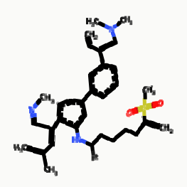 C=C/C(=C\N(C)C)c1cccc(-c2ccc(C(/C=N\C)=C/C(=C)C)c(NC(CC)CCCCC(=C)S(C)(=O)=O)c2)c1